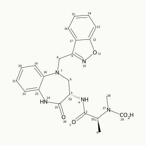 C[C@@H](C(=O)N[C@H]1CN(Cc2noc3ccccc23)c2ccccc2NC1=O)N(C)C(=O)O